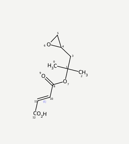 CC(C)(CC1CO1)OC(=O)/C=C/C(=O)O